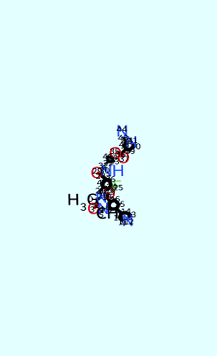 C[C@@H]1C(=O)N(C)c2cc(-c3ccncc3)ccc2C(=O)N1Cc1cc(F)cc(C(=O)NC[C@H]2C[C@@H](OC(=O)c3ccnc(C#N)c3)C2)c1